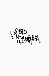 CC(C)C(N)C(=O)N[C@@H]1Cc2ccc(O)c(c2)[C@]23COc4c(cccc42)-c2cccc4[nH]c(Cl)c(c24)-c2oc(nc2Cl)-c2nc(oc23)[C@@H](C(C)C)NC1=O